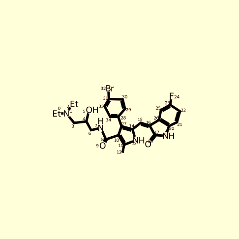 CCN(CC)CC(O)CNC(=O)c1c(C)[nH]c(C=C2C(=O)Nc3ccc(F)cc32)c1-c1ccc(Br)cc1